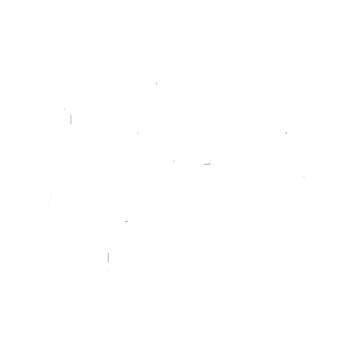 Fc1c(F)c(F)c2c(c1F)Cc1ccccc1-2